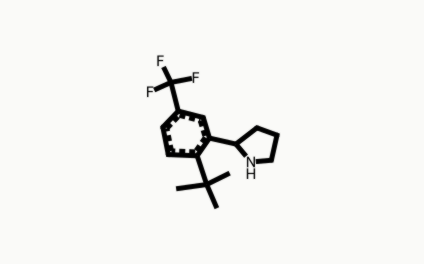 CC(C)(C)c1ccc(C(F)(F)F)cc1C1CCCN1